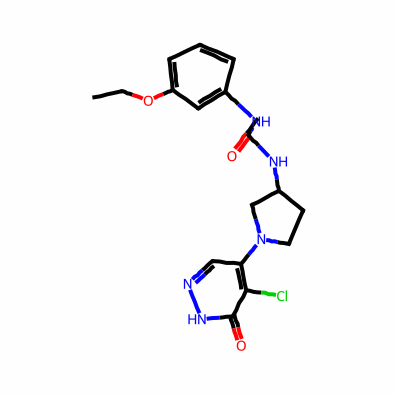 CCOc1cccc(NC(=O)NC2CCN(c3cn[nH]c(=O)c3Cl)C2)c1